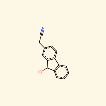 N#CCc1ccc2c(c1)C(O)c1ccccc1-2